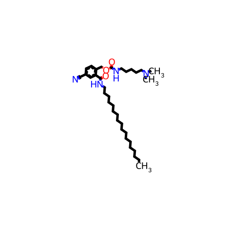 CCCCCCCCCCCCCCCCCCNC(=O)c1cc(C#N)ccc1COC(=O)NCCCCCN(C)C